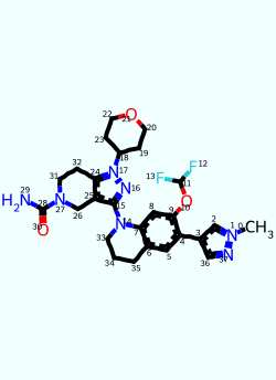 Cn1cc(-c2cc3c(cc2OC(F)F)N(c2nn(C4CCOCC4)c4c2CN(C(N)=O)CC4)CCC3)cn1